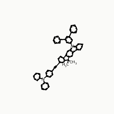 CC1(C)c2cc(C#Cc3ccc(N(c4ccccc4)c4ccccc4)cc3)ccc2-c2cc3c(cc21)c1ccccc1n3-c1cc(-c2ccccc2)cc(-c2ccccc2)c1